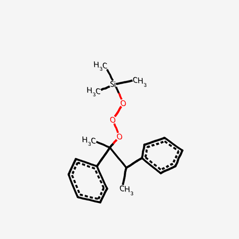 CC(c1ccccc1)C(C)(OOO[Si](C)(C)C)c1ccccc1